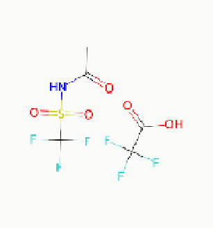 CC(=O)NS(=O)(=O)C(F)(F)F.O=C(O)C(F)(F)F